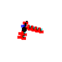 COC(=O)CNc1ccccc1.O=P(O)(O)F.O=P(O)(O)F.O=P(O)(O)F.O=P(O)(O)F.O=P(O)(O)F.O=P(O)(O)F